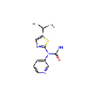 CC(C)c1cnc(N(C(N)=O)c2cccnc2)s1